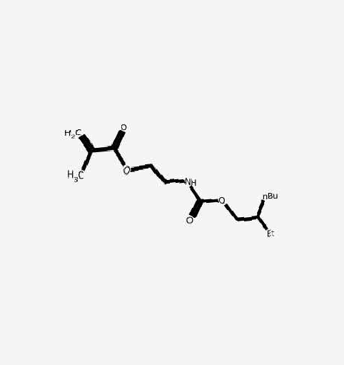 C=C(C)C(=O)OCCNC(=O)OCC(CC)CCCC